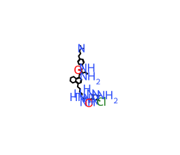 C=C[C@@](N)(Cc1ccc(CCCCNC(=N)NC(=O)c2nc(Cl)c(N)nc2N)c2c1CCCC2)C(=O)Nc1ccc(CCCN(C)C)cc1